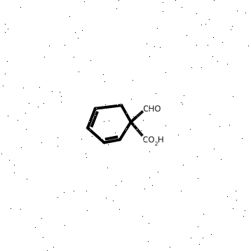 O=CC1(C(=O)O)C=CC=CC1